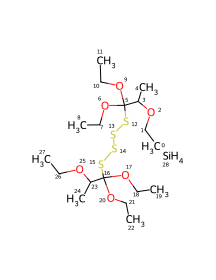 CCOC(C)C(OCC)(OCC)SSSSC(OCC)(OCC)C(C)OCC.[SiH4]